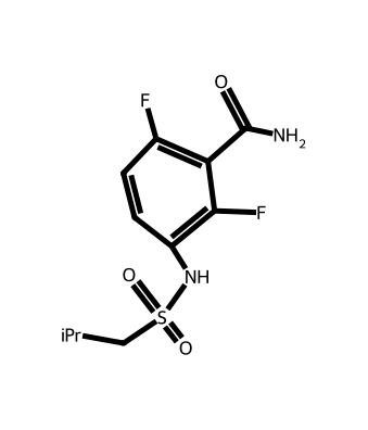 CC(C)CS(=O)(=O)Nc1ccc(F)c(C(N)=O)c1F